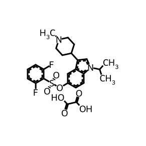 CC(C)n1cc(C2CCN(C)CC2)c2cc(OS(=O)(=O)c3c(F)cccc3F)ccc21.O=C(O)C(=O)O